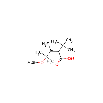 CC([C@H](C(=O)O)C(C)(C)C)C(C)(C)O[SiH3]